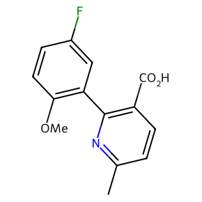 COc1ccc(F)cc1-c1nc(C)ccc1C(=O)O